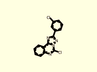 Clc1cccc(-c2nc3c4ccccc4nc(Cl)n3n2)c1